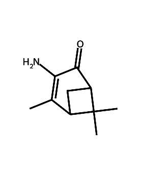 CC1=C(N)C(=O)C2CC1C2(C)C